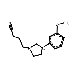 COc1cccc([C@H]2CCN(CCCC#N)C2)c1